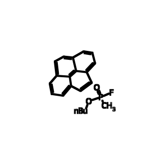 CCCCOP(C)(=O)F.c1cc2ccc3cccc4ccc(c1)c2c34